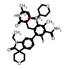 CCN1C(=O)C2(CCOCC2)c2ccc(-c3c(F)c(C(N)=O)c(C)c(N(CC)C4CCOCC4)c3Cc3c(C)cc(C)[nH]c3=O)cc21